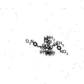 CC(OCCO[C@@H]1[C@@H]2O[Si](C(C)C)(C(C)C)O[Si](C(C)C)(C(C)C)OC(C(=O)OCCc3ccc([N+](=O)[O-])cc3)[C@H]2O[C@H]1n1cnc2c(N)ncnc21)c1ccc([N+](=O)[O-])cc1